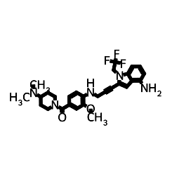 COc1cc(C(=O)N2CCC(N(C)C)CC2)ccc1NCC#Cc1cc2c(N)cccc2n1CC(F)(F)F